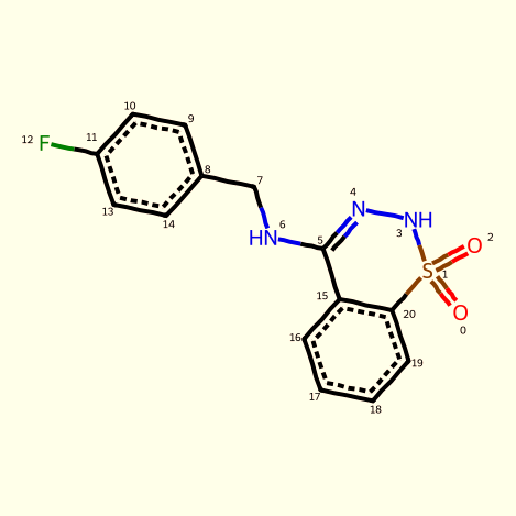 O=S1(=O)NN=C(NCc2ccc(F)cc2)c2ccccc21